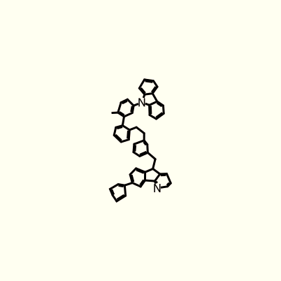 Cc1ccc(-n2c3ccccc3c3ccccc32)cc1-c1ccccc1CCc1cccc(CC2c3ccc(-c4ccccc4)cc3-c3ncccc32)c1